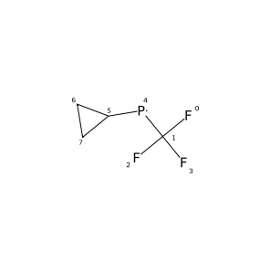 FC(F)(F)[P]C1CC1